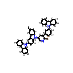 Cc1ccc2c(c1)c1cc(-n3c4ccccc4c4ccccc43)ccc1n2-c1cnc2sc3ccc(-n4c5ccccc5c5ccccc54)cc3c2c1